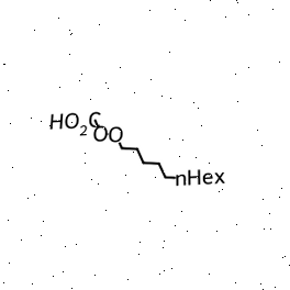 CCCCCCCCCCCOOC(=O)O